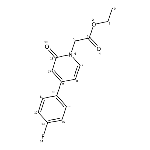 CCOC(=O)Cn1ccc(-c2ccc(F)cc2)cc1=O